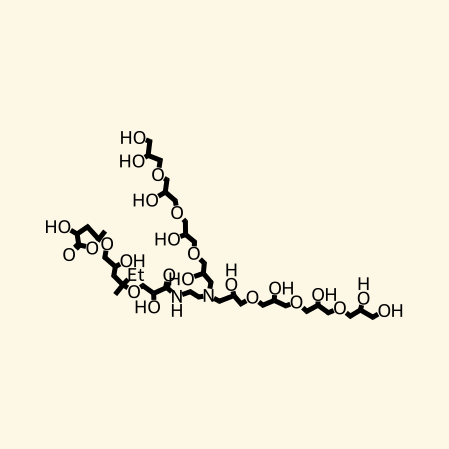 CCC(C)(CC(O)COC1(C)CC(O)C(=O)O1)OCC(O)C(=O)NCCN(CC(O)COCC(O)COCC(O)COCC(O)CO)CC(O)COCC(O)COCC(O)COCC(O)CO